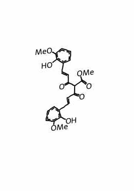 COC(=O)C(C(=O)/C=C/c1cccc(OC)c1O)C(=O)/C=C/c1cccc(OC)c1O